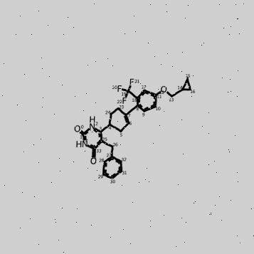 O=c1[nH]c(C2CC=C(c3ccc(OCC4CC4)cc3C(F)(F)F)CC2)c(Cc2ccccc2)c(=O)[nH]1